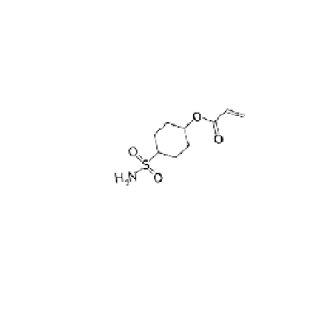 C=CC(=O)OC1CCC(S(N)(=O)=O)CC1